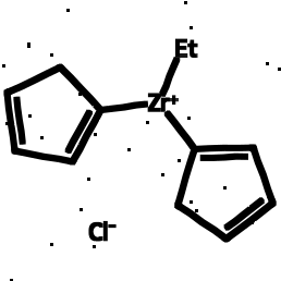 C[CH2][Zr+]([C]1=CC=CC1)[C]1=CC=CC1.[Cl-]